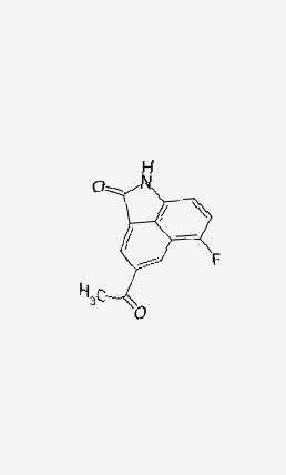 CC(=O)c1cc2c3c(ccc(F)c3c1)NC2=O